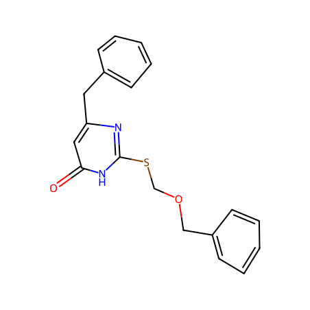 O=c1cc(Cc2ccccc2)nc(SCOCc2ccccc2)[nH]1